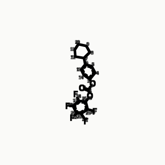 O=C(Oc1ccc(C2CCCCC2)cc1)Oc1c(F)c(F)c(F)c(F)c1F